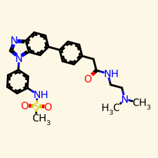 CN(C)CCNC(=O)Cc1ccc(-c2ccc3ncn(-c4cccc(NS(C)(=O)=O)c4)c3c2)cc1